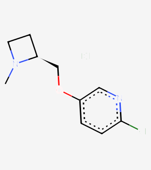 CN1CC[C@H]1COc1ccc(Cl)nc1.Cl